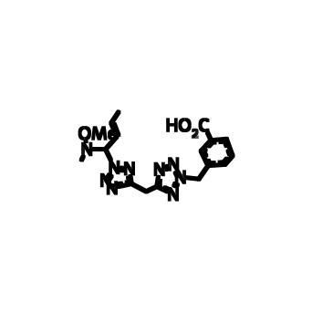 CC=CC(N(C)OC)n1nnc(Cc2nnn(Cc3cccc(C(=O)O)c3)n2)n1